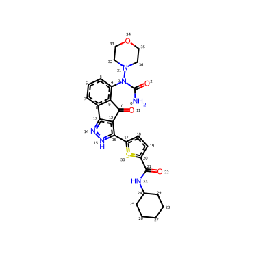 NC(=O)N(c1cccc2c1C(=O)c1c-2n[nH]c1-c1ccc(C(=O)NC2CCCCC2)s1)N1CCOCC1